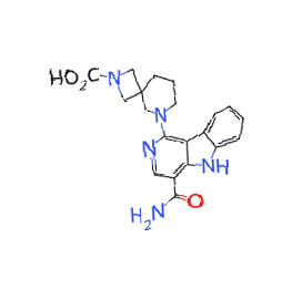 NC(=O)c1cnc(N2CCCC3(CN(C(=O)O)C3)C2)c2c1[nH]c1ccccc12